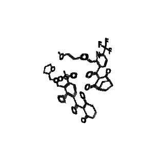 COCCOCc1nc(C(F)(F)F)ccc1C(=O)C1C(=O)C2CCC(C2)C1=O.CS(=O)(=O)c1ccc(C(=O)C2C(=O)CCCC2=O)c(Cl)c1COCC1CCCO1